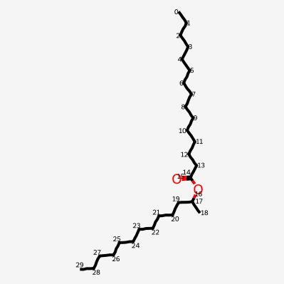 CCCCCCCCCCCCCCC(=O)OC(C)CCCCCCCCCCC